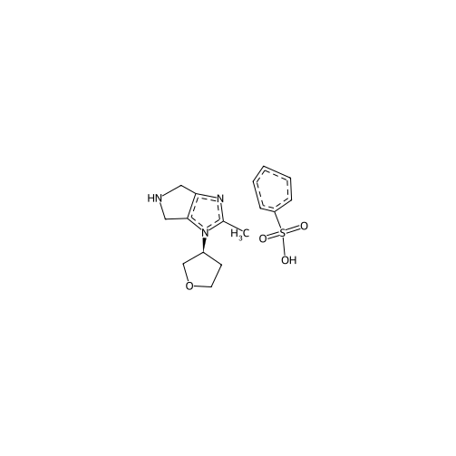 Cc1nc2c(n1[C@H]1CCOC1)CNC2.O=S(=O)(O)c1ccccc1